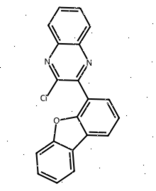 Clc1nc2ccccc2nc1-c1cccc2c1oc1ccccc12